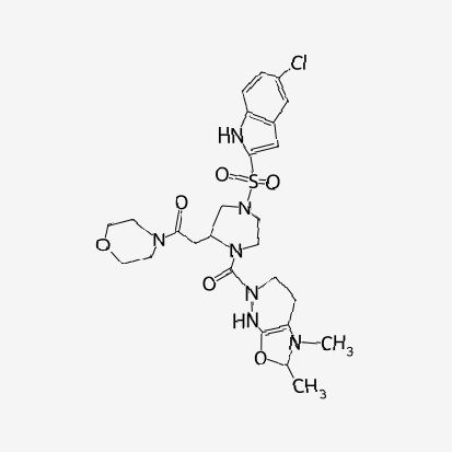 CC1OC2=C(CCN(C(=O)N3CCN(S(=O)(=O)c4cc5cc(Cl)ccc5[nH]4)CC3CC(=O)N3CCOCC3)N2)N1C